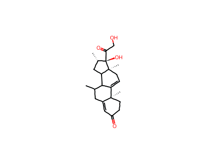 CC1CC2=CC(=O)CC[C@]2(C)C2=CC[C@@]3(C)C(C[C@H](C)[C@]3(O)C(=O)CO)C21